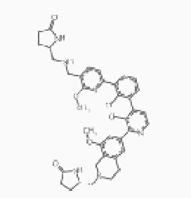 COc1cc(-c2nccc(-c3cccc(-c4ccc(CNC[C@H]5CCC(=O)N5)c(OC)n4)c3Cl)c2Cl)cc2c1CN(C[C@@H]1CCC(=O)N1)CC2